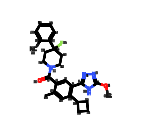 CCOc1nnc(-c2cc(C(=O)N3CCC(F)(c4ccccc4C#N)CC3)c(C)cc2C2CCC2)[nH]1